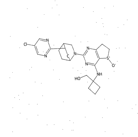 [O-][S+]1CCc2nc(N3CC4CCC3CC4c3ncc(Cl)cn3)nc(NC3(CO)CCC3)c21